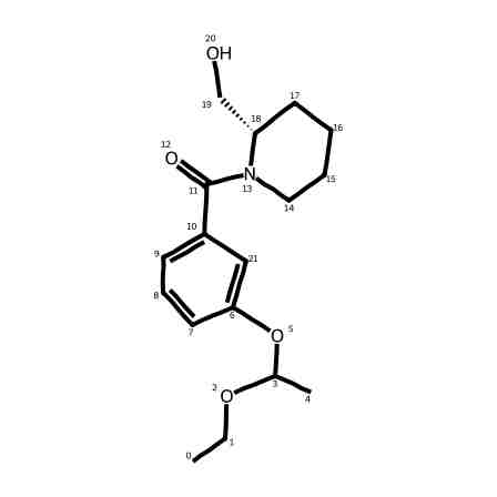 CCOC(C)Oc1cccc(C(=O)N2CCCC[C@H]2CO)c1